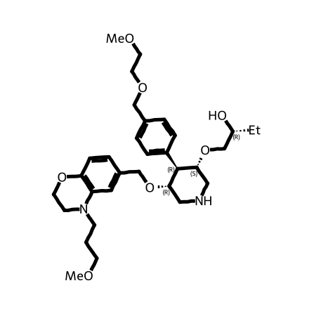 CC[C@@H](O)CO[C@@H]1CNC[C@H](OCc2ccc3c(c2)N(CCCOC)CCO3)[C@H]1c1ccc(COCCOC)cc1